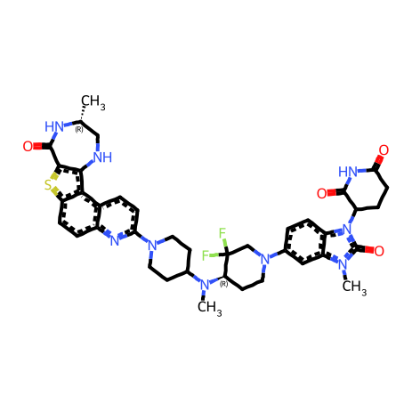 C[C@@H]1CNc2c(sc3ccc4nc(N5CCC(N(C)[C@@H]6CCN(c7ccc8c(c7)n(C)c(=O)n8C7CCC(=O)NC7=O)CC6(F)F)CC5)ccc4c23)C(=O)N1